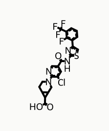 O=C(Nc1nc(-c2cccc(C(F)(F)F)c2F)cs1)c1cnc(N2CCC3C(C2)C3C(=O)O)c(Cl)c1